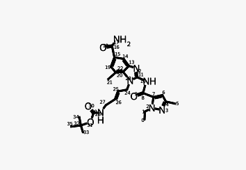 CCn1nc(C)cc1C(=O)Nc1nc2cc(C(N)=O)cc(C)c2n1C/C=C/CNC(=O)OC(C)(C)C